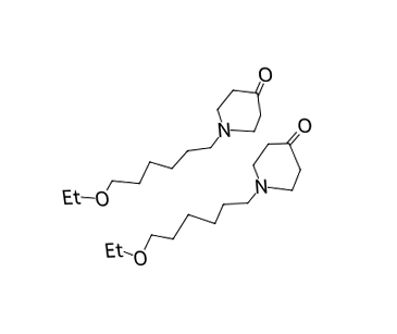 CCOCCCCCCN1CCC(=O)CC1.CCOCCCCCCN1CCC(=O)CC1